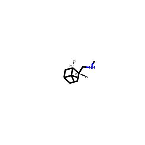 CNC[C@@H]1CCC2C[C@@H]1C2(C)C